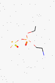 CCOP(=O)(OCCN)OS(=O)(=O)O